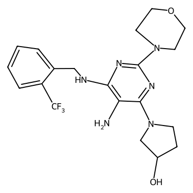 Nc1c(NCc2ccccc2C(F)(F)F)nc(N2CCOCC2)nc1N1CCC(O)C1